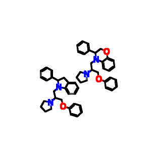 c1ccc(OCC(CN2c3ccccc3CC2c2ccccc2)N2CCCC2)cc1.c1ccc(OCC(CN2c3ccccc3OCC2c2ccccc2)N2CCCC2)cc1